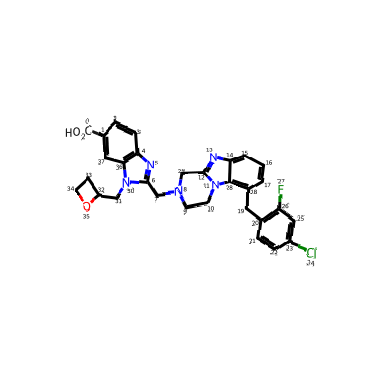 O=C(O)c1ccc2nc(CN3CCn4c(nc5cccc(Cc6ccc(Cl)cc6F)c54)C3)n(CC3CCO3)c2c1